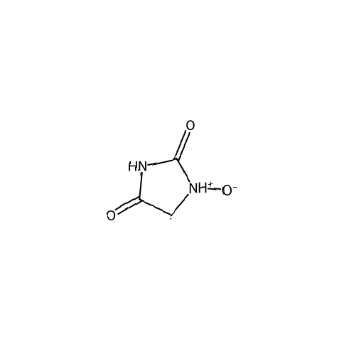 O=C1[CH][NH+]([O-])C(=O)N1